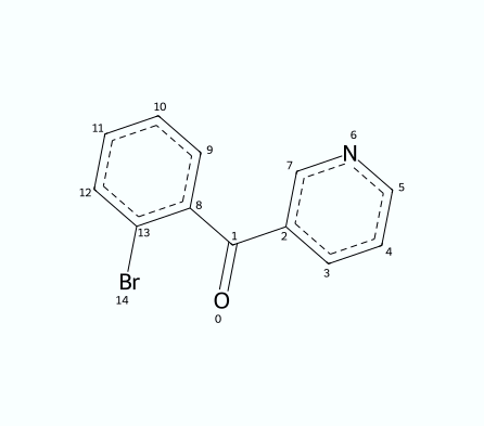 O=C(c1cccnc1)c1ccccc1Br